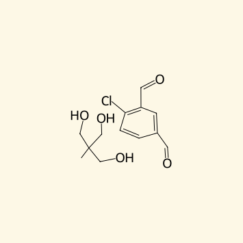 CC(CO)(CO)CO.O=Cc1ccc(Cl)c(C=O)c1